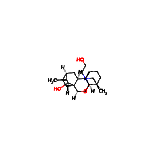 C=C1[C@H]2CC[C@]3([C@@H]1O)[C@H]1C[C@@H]4[C@@]5(C)CCC[C@@]4(C(O1)N(CCO)C5)[C@@H]3C2